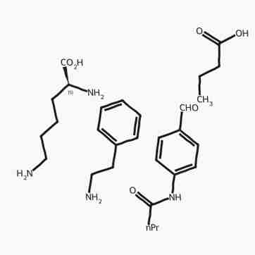 CCCC(=O)Nc1ccc(C=O)cc1.CCCC(=O)O.NCCCC[C@H](N)C(=O)O.NCCc1ccccc1